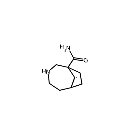 NC(=O)C12[CH]C(CCNC1)CC2